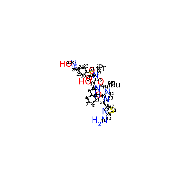 CC[C@H](C)[C@@H](C(=O)N[C@@H](Cc1ccccc1)[C@H](O)CN(CC(C)C)S(=O)(=O)c1ccc(/C=N/O)cc1)N1CCN(Cc2csc(CN)n2)C1=O